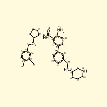 Cc1ccc(CO[C@H]2CCC[C@@H]2NC(=O)c2cc(-c3cccc(CNC4CCCNC4)c3)cnc2N)cc1C